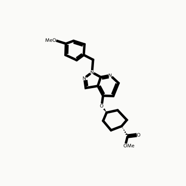 COc1ccc(Cn2ncc3c(O[C@H]4CC[C@@H](C(=O)OC)CC4)ccnc32)cc1